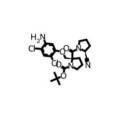 CC(C)(C)OC(=O)N1CCC[C@@]1(COc1cc(N)c(Cl)cc1Cl)C(=O)N1CCC[C@H]1C#N